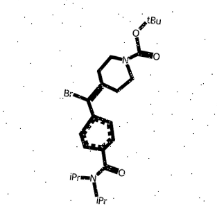 CC(C)N(C(=O)c1ccc(C(Br)=C2CCN(C(=O)OC(C)(C)C)CC2)cc1)C(C)C